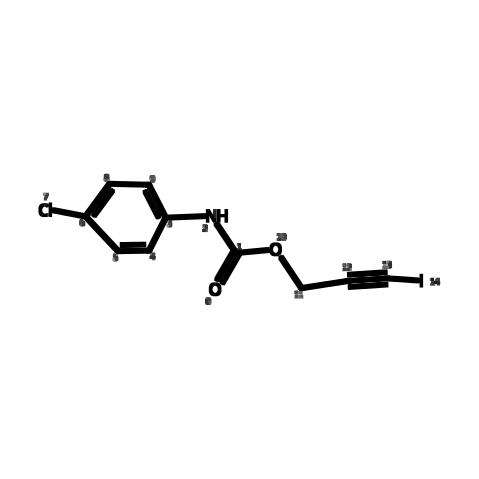 O=C(Nc1ccc(Cl)cc1)OCC#CI